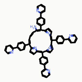 Nc1cccc(-c2ccc(-c3ccccn3)cc2)c2nc(c(-c3ccc(-c4ccccn4)cc3)c3ccc([nH]3)c(-c3ccc(-c4ccccn4)cc3)c3nc(c1-c1ccc(-c4ccccn4)cc1)C=C3)C=C2